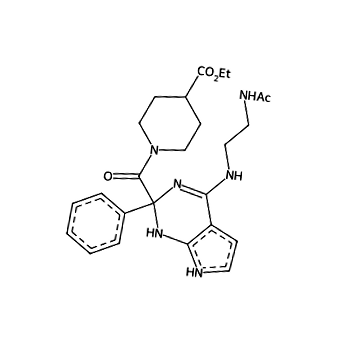 CCOC(=O)C1CCN(C(=O)C2(c3ccccc3)N=C(NCCNC(C)=O)c3cc[nH]c3N2)CC1